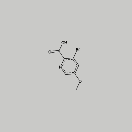 COc1cnc(C(=O)O)c(Br)c1